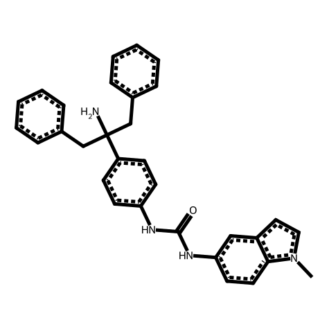 Cn1ccc2cc(NC(=O)Nc3ccc(C(N)(Cc4ccccc4)Cc4ccccc4)cc3)ccc21